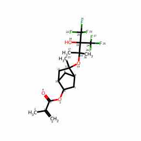 C=C(C)C(=O)OC1CC2CC1CC2(C)OC(C)(C)C(O)(C(F)(F)F)C(F)(F)F